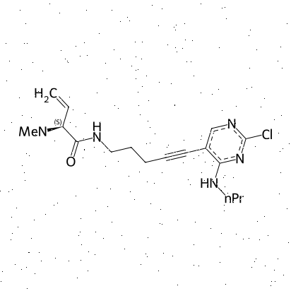 C=C[C@H](NC)C(=O)NCCCC#Cc1cnc(Cl)nc1NCCC